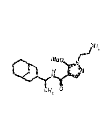 CC(C)COc1c(C(=O)NC(C)C2CC3CCCC(C3)C2)cnn1CCN